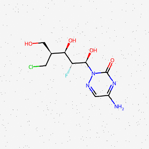 Nc1cnn([C@H](O)[C@H](F)[C@H](O)[C@H](CO)CCl)c(=O)n1